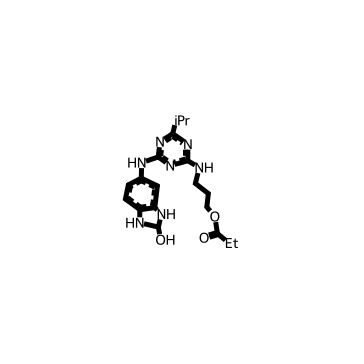 CCC(=O)OCCCNc1nc(Nc2ccc3c(c2)NC(O)N3)nc(C(C)C)n1